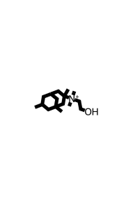 CC1CC2CC(C)(C1)CC(C)([N+](C)(C)CCO)C2